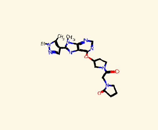 CCn1ncc(-c2nc3c(OC4CCN(C(=O)CN5CCCC5=O)C4)ncnc3n2C)c1C